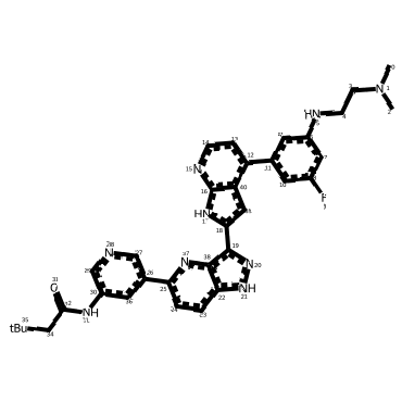 CN(C)CCNc1cc(F)cc(-c2ccnc3[nH]c(-c4n[nH]c5ccc(-c6cncc(NC(=O)CC(C)(C)C)c6)nc45)cc23)c1